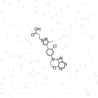 Cc1nn(CCC(=O)O)cc1-c1ccc(N2CCOc3ncnc4c3C2=N4)cc1Cl